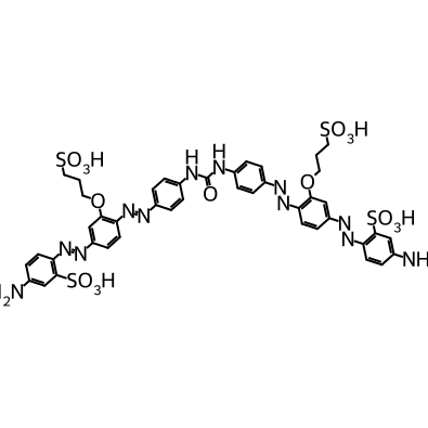 Nc1ccc(N=Nc2ccc(N=Nc3ccc(NC(=O)Nc4ccc(N=Nc5ccc(N=Nc6ccc(N)cc6S(=O)(=O)O)cc5OCCCS(=O)(=O)O)cc4)cc3)c(OCCCS(=O)(=O)O)c2)c(S(=O)(=O)O)c1